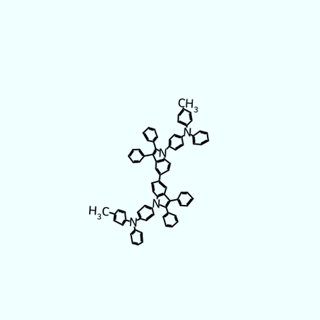 Cc1ccc(N(c2ccccc2)c2ccc(-n3c(-c4ccccc4)c(-c4ccccc4)c4cc(-c5ccc6c(c5)c(-c5ccccc5)c(-c5ccccc5)n6-c5ccc(N(c6ccccc6)c6ccc(C)cc6)cc5)ccc43)cc2)cc1